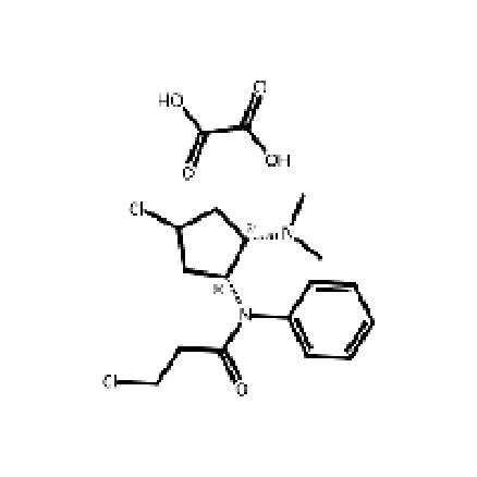 CN(C)[C@H]1CC(Cl)C[C@H]1N(C(=O)CCCl)c1ccccc1.O=C(O)C(=O)O